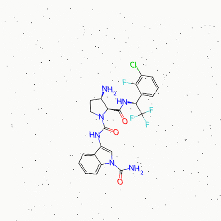 NC(=O)n1cc(NC(=O)N2CC[C@@H](N)[C@H]2C(=O)N[C@@H](c2cccc(Cl)c2F)C(F)(F)F)c2ccccc21